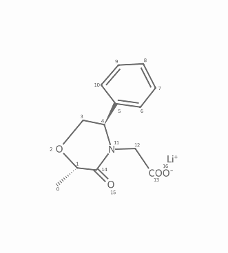 C[C@@H]1OC[C@@H](c2ccccc2)N(CC(=O)[O-])C1=O.[Li+]